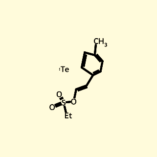 CCS(=O)(=O)OC=Cc1ccc(C)cc1.[Te]